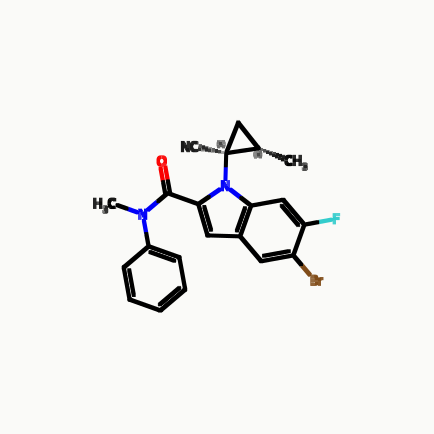 C[C@H]1C[C@]1(C#N)n1c(C(=O)N(C)c2ccccc2)cc2cc(Br)c(F)cc21